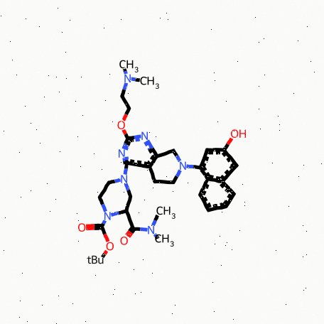 CN(C)CCOc1nc2c(c(N3CCN(C(=O)OC(C)(C)C)C(C(=O)N(C)C)C3)n1)CCN(c1cc(O)cc3ccccc13)C2